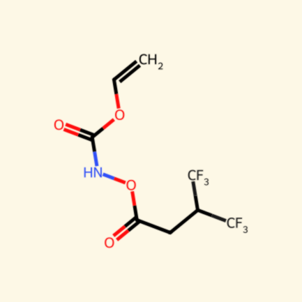 C=COC(=O)NOC(=O)CC(C(F)(F)F)C(F)(F)F